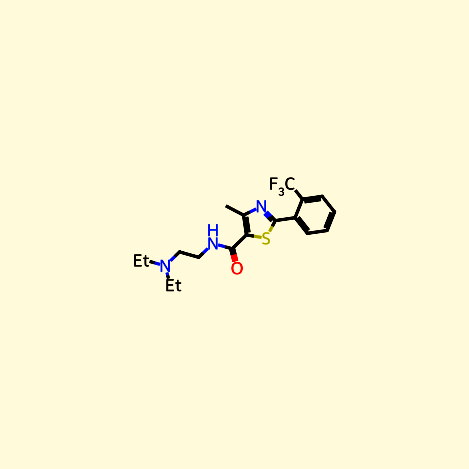 CCN(CC)CCNC(=O)c1sc(-c2ccccc2C(F)(F)F)nc1C